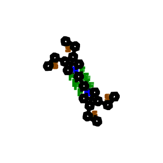 Fc1c(F)c(N2c3ccccc3C(c3ccc(-c4cccc5c4sc4ccccc45)cc3)(c3ccc(-c4cccc5c4sc4ccccc45)cc3)c3ccccc32)c(F)c(F)c1-c1c(F)c(F)c(N2c3ccccc3C(c3ccc(-c4cccc5c4sc4ccccc45)cc3)(c3ccc(-c4cccc5c4sc4ccccc45)cc3)c3ccccc32)c(F)c1F